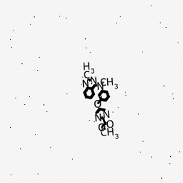 COC(=O)c1ncc(Oc2cccc(N(C)c3nc(C)nc4ccccc34)c2)cn1